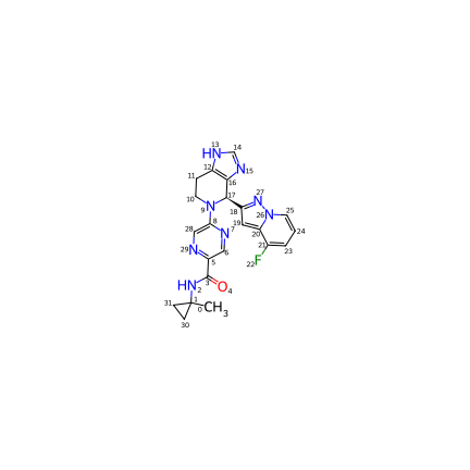 CC1(NC(=O)c2cnc(N3CCc4[nH]cnc4[C@H]3c3cc4c(F)cccn4n3)cn2)CC1